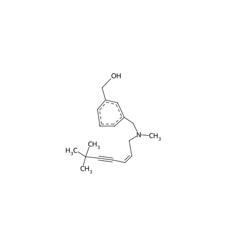 CN(C/C=C\C#CC(C)(C)C)Cc1cccc(CO)c1